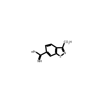 CCCC(=N)c1ccc2c(C(=O)O)nsc2c1